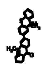 C[Si@@H]1c2ccccc2Sc2ccc(-c3ccc4c(c3)[Si@@H](C)c3ccccc3C4=O)cc21